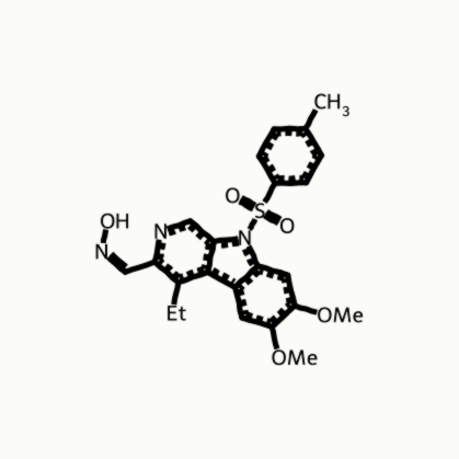 CCc1c(/C=N\O)ncc2c1c1cc(OC)c(OC)cc1n2S(=O)(=O)c1ccc(C)cc1